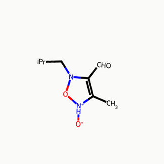 CC1=C(C=O)N(CC(C)C)O[NH+]1[O-]